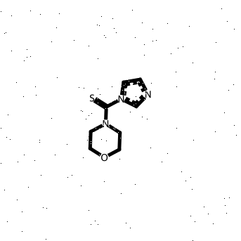 S=C(N1CCOCC1)n1ccnc1